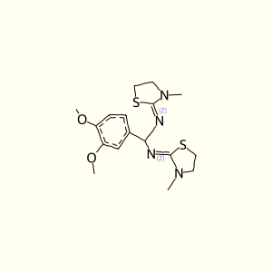 COc1ccc(C(/N=C2\SCCN2C)/N=C2\SCCN2C)cc1OC